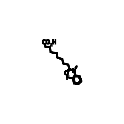 CN(C(=O)CCCCCCCCC(=O)O)c1ccccc1F